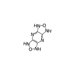 n1c2[nH]o[nH]c2nc2[nH]o[nH]c12